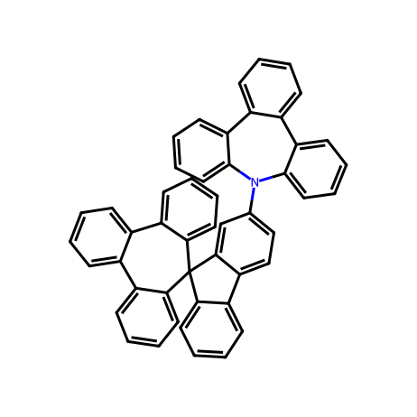 c1ccc2c(c1)-c1ccccc1N(c1ccc3c(c1)C1(c4ccccc4-c4ccccc4-c4ccccc41)c1ccccc1-3)c1ccccc1-2